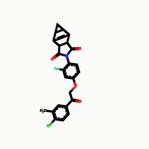 Cc1cc(C(=O)COc2ccc(N3C(=O)C4C5C=CC(C6CC56)C4C3=O)c(F)c2)ccc1Cl